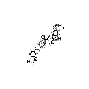 COc1cccc(CCN2CCN(C(=O)C=Cc3c(C)[nH]c4ccc(OC)cc34)CC2)c1